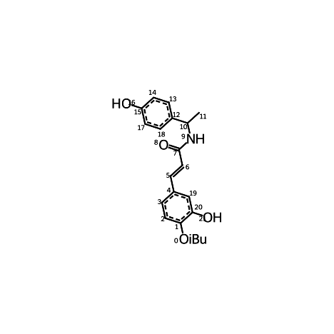 CC(C)COc1ccc(/C=C/C(=O)NC(C)c2ccc(O)cc2)cc1O